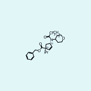 CC(C)[C@]1(C(=O)OCc2ccccc2)C=C[C@@H](N(C(=O)C(F)(F)F)C2CCOC[C@H]2C)C1